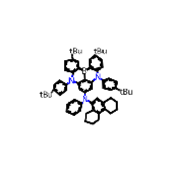 CC(C)(C)c1ccc(N2c3ccc(C(C)(C)C)cc3B3c4cc(C(C)(C)C)ccc4N(c4ccc(C(C)(C)C)cc4)c4cc(N(c5ccccc5)c5cc6c(c7c5CCCC7)CCCC6)cc2c43)cc1